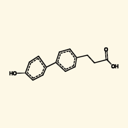 O=C(O)CCc1ccc(-c2ccc(O)cc2)cc1